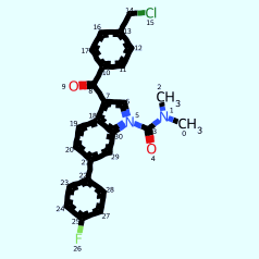 CN(C)C(=O)n1cc(C(=O)c2ccc(CCl)cc2)c2ccc(-c3ccc(F)cc3)cc21